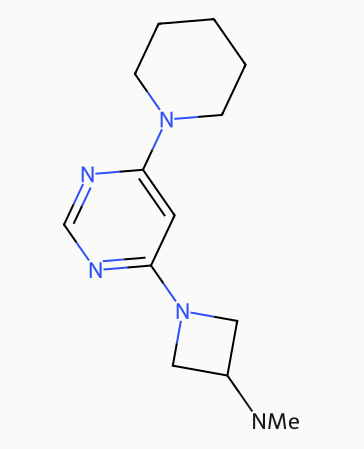 CNC1CN(c2cc(N3CCCCC3)ncn2)C1